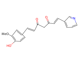 COc1cc(/C=C/C(=O)CC(=O)/C=C/c2cccnc2)ccc1O